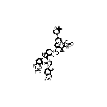 C[C@H]1c2c(nn(-c3ccc(F)c(OC(F)(F)F)c3)c2-n2ccn(-c3ccc4c(cnn4C)c3F)c2=O)CCN1C(=O)c1cc2cc([C@@H]3CCOC(C)(C)C3)ccn2c1C1(c2noc(=O)[nH]2)CC1